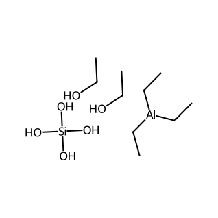 CCO.CCO.C[CH2][Al]([CH2]C)[CH2]C.O[Si](O)(O)O